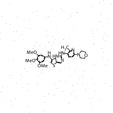 COc1cc(NC2=CSC3=CN=C(Nc4ccc(N5CCOCC5)nc4C)NC23)cc(OC)c1OC